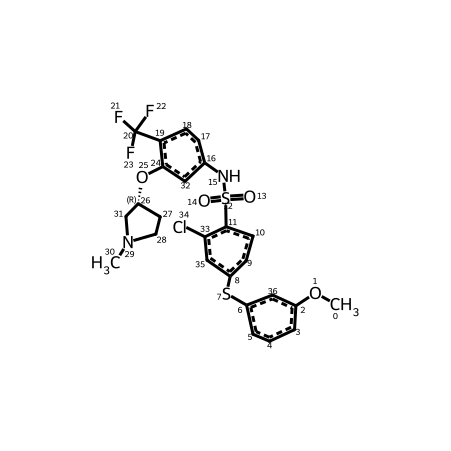 COc1cccc(Sc2ccc(S(=O)(=O)Nc3ccc(C(F)(F)F)c(O[C@@H]4CCN(C)C4)c3)c(Cl)c2)c1